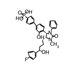 CN1C(=O)N(c2ccccc2)[C@H](c2ccc(-c3ccc(P(=O)(O)O)cc3)cc2O)[C@H]1CCC[C@@H](O)c1ccc(F)cc1